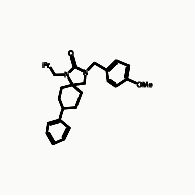 COc1ccc(CN2CC3(CCC(c4ccccc4)CC3)N(CC(C)C)C2=O)cc1